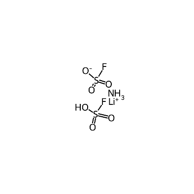 N.O=S(=O)(O)F.O=S(=O)([O-])F.[Li+]